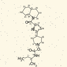 CCC(C)NC(=O)ON1CCC(c2nc(C(=O)N3CCCC4CCCC=C43)cs2)CC1